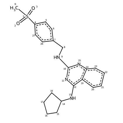 CS(=O)(=O)c1ccc(CNc2nc(NC3CCCC3)c3ccccc3n2)cc1